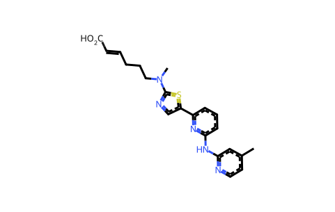 Cc1ccnc(Nc2cccc(-c3cnc(N(C)CCCC=CC(=O)O)s3)n2)c1